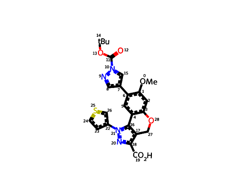 COc1cc2c(cc1-c1cnn(C(=O)OC(C)(C)C)c1)-c1c(c(C(=O)O)nn1-c1ccsc1)CO2